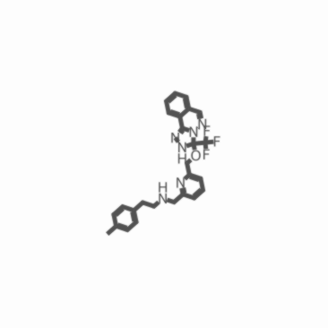 Cc1ccc(CCNCc2cccc(COC3(C(F)(F)F)NN=C4c5ccccc5C=NN43)n2)cc1